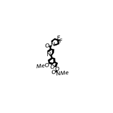 CNC(=O)Oc1cc2cc(-c3ccc(C(=O)N4CCC(F)(F)CC4)cn3)cc(OC)c2o1